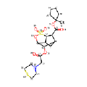 CCC1(OC(=O)C2C3CC4C(OS(=O)(=O)C42)C3OC(=O)CN2CCSCC2)CCCC1